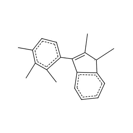 C[C]1C(C)=C(c2ccc(C)c(C)c2C)c2ccccc21